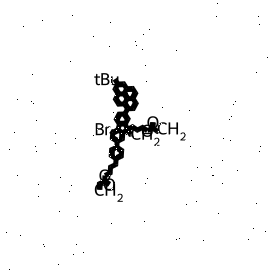 C=CC(=O)OCCCc1ccc(-c2cc(Br)c3c(c2)C(C=C)(CCCOC(=O)C=C)c2cc(-c4ccc5ccc6cc(C(C)(C)C)cc7ccc4c5c67)ccc2-3)cc1